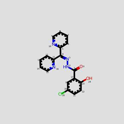 O=C(NN=C(c1ccccn1)c1ccccn1)c1cc(Cl)ccc1O